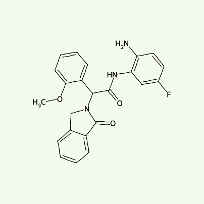 COc1ccccc1C(C(=O)Nc1cc(F)ccc1N)N1Cc2ccccc2C1=O